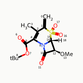 C=C1C(C)=C(C(=O)OC(C)(C)C)N2C(=O)[C@H](OC)[C@H]2S1(=O)=O